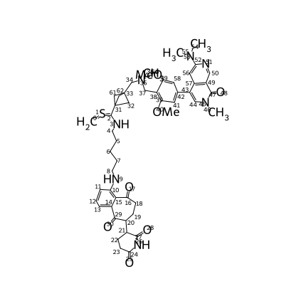 C=S=C(NCCCCCNc1cccc2c1C(=O)CCC(C1CCC(=O)NC1=O)C2=O)C12CC(CN(C)Cc3c(OC)cc(-c4cn(C)c(=O)c5cnc(N(C)C)cc45)cc3OC)(C1)C2